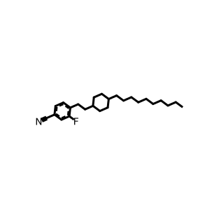 CCCCCCCCCCC1CCC(CCc2ccc(C#N)cc2F)CC1